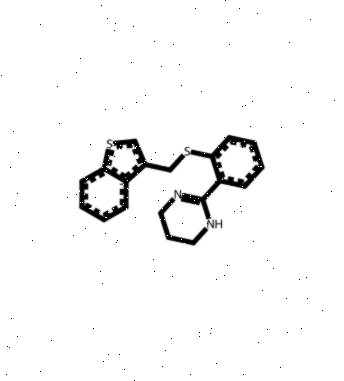 c1ccc(C2=NCCCN2)c(SCc2csc3ccccc23)c1